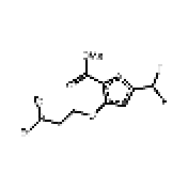 CCN(CC)CCOc1cc(C(F)F)sc1C(=O)OC